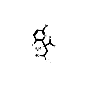 N[C@](C[C@H](O)C(F)(F)F)(c1nc(Br)ccc1F)C(F)F